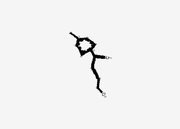 Cc1ccc(C(=O)CCCCl)cc1